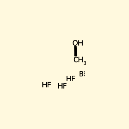 CO.F.F.F.[B]